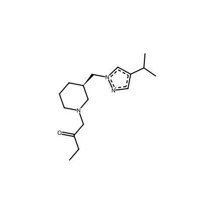 CCC(=O)CN1CCC[C@@H](Cn2cc(C(C)C)cn2)C1